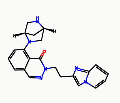 O=c1c2c(N3C[C@@H]4C[C@H]3CN4)cccc2cnn1CCc1cn2ccccc2n1